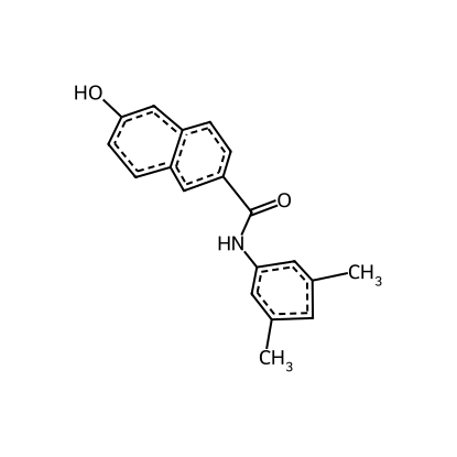 Cc1cc(C)cc(NC(=O)c2ccc3cc(O)ccc3c2)c1